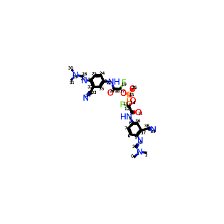 CN(C)/C=N/c1ccc(NC(=O)C(F)O[PH](=O)OC(F)C(=O)Nc2ccc(/N=C/N(C)C)c(C#N)c2)cc1C#N